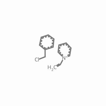 C=C[n+]1ccccc1.ClCc1ccccc1